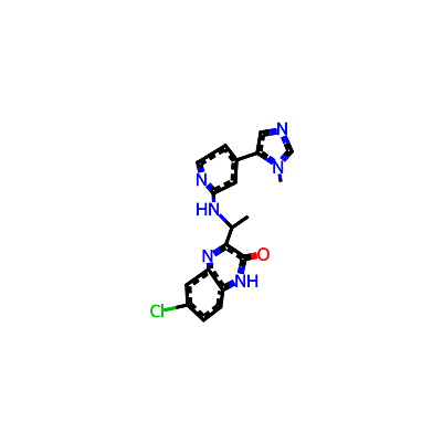 CC(Nc1cc(-c2cncn2C)ccn1)c1nc2cc(Cl)ccc2[nH]c1=O